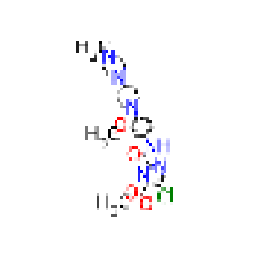 COC(=O)c1nc(C(=O)Nc2ccc(N3CCC(N4CCN(C)CC4)CC3)c(OC)c2)ncc1Cl